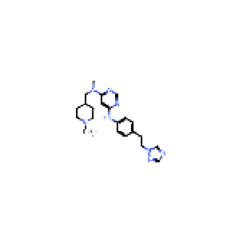 CN(CC1CCN(C(=O)O)CC1)c1cc(Nc2ccc(CCn3cncn3)cc2)ncn1